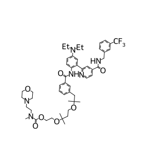 CCN(CC)c1ccc(NC(=O)c2cccc(CC(C)(C)OCCC(C)(C)OCCOC(=O)N(C)CCN3CCOCC3)c2)c(-c2cc(C(=O)NCc3cccc(C(F)(F)F)c3)ccn2)c1